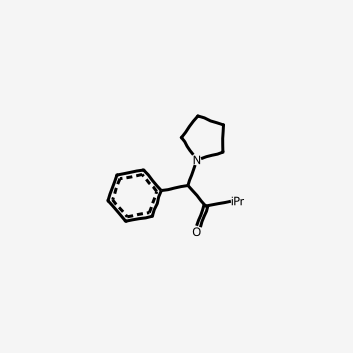 CC(C)C(=O)C(c1ccccc1)N1CCCC1